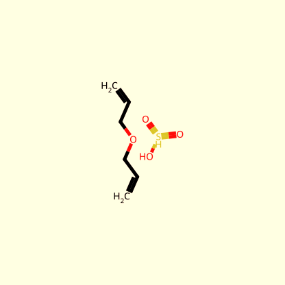 C=CCOCC=C.O=[SH](=O)O